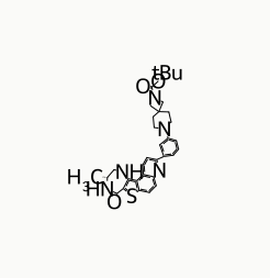 C[C@@H]1CNc2c(sc3ccc4nc(-c5cccc(N6CCC7(CC6)CN(C(=O)OC(C)(C)C)C7)c5)ccc4c23)C(=O)N1